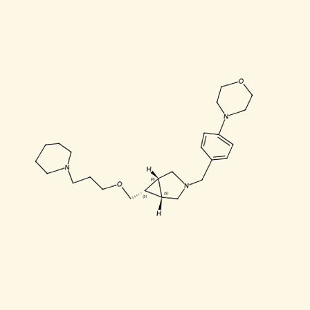 c1cc(N2CCOCC2)ccc1CN1C[C@@H]2[C@H](COCCCN3CCCCC3)[C@@H]2C1